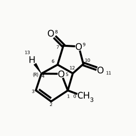 CC12C=C[C@@H](O1)C1C(=O)OC(=O)C12